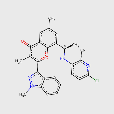 Cc1cc([C@@H](C)Nc2ccc(Cl)nc2C#N)c2oc(-c3nn(C)c4ccccc34)c(C)c(=O)c2c1